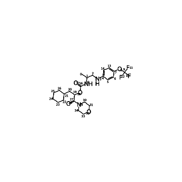 CC(CNc1ccc(OC(F)(F)F)cc1)NC(=O)OC(CC1CCCCC1)C(=O)N1CCOCC1